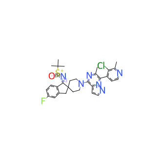 Cc1nccc(-c2c(C)nc(N3CCC4(CC3)Cc3cc(F)ccc3/C4=N\[S@+]([O-])C(C)(C)C)c3ccnn23)c1Cl